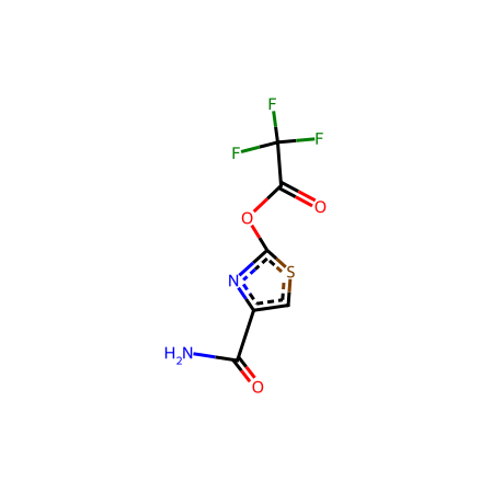 NC(=O)c1csc(OC(=O)C(F)(F)F)n1